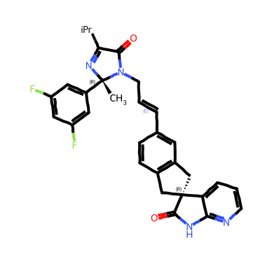 CC(C)C1=N[C@@](C)(c2cc(F)cc(F)c2)N(C/C=C/c2ccc3c(c2)C[C@@]2(C3)C(=O)Nc3ncccc32)C1=O